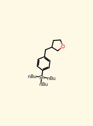 CCC[CH2][Sn]([CH2]CCC)([CH2]CCC)[c]1ccc(CC2CCOC2)cc1